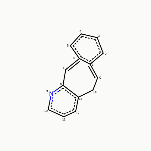 C1=c2ccccc2=Cc2ncccc2C1